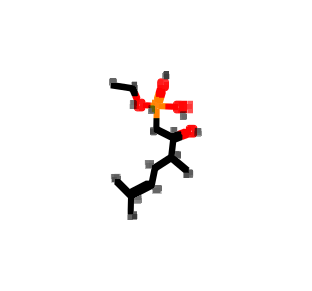 CCOP(=O)(O)CC(=O)C(C)CC=C(C)C